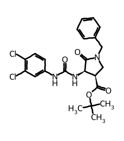 CC(C)(C)OC(=O)[C@@H]1CN(Cc2ccccc2)C(=O)[C@@H]1NC(=O)Nc1ccc(Cl)c(Cl)c1